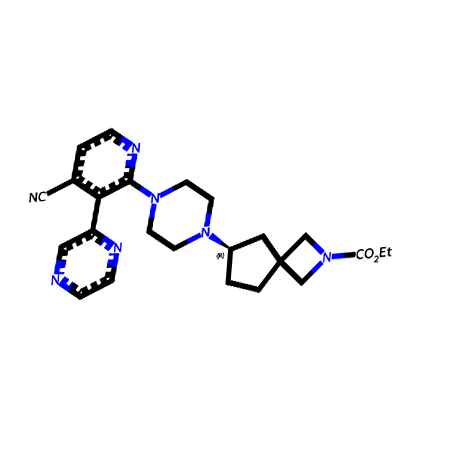 CCOC(=O)N1CC2(CC[C@@H](N3CCN(c4nccc(C#N)c4-c4cnccn4)CC3)C2)C1